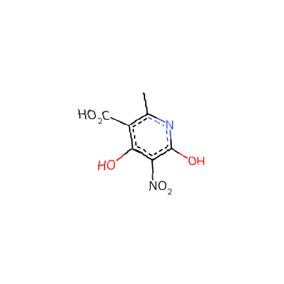 Cc1nc(O)c([N+](=O)[O-])c(O)c1C(=O)O